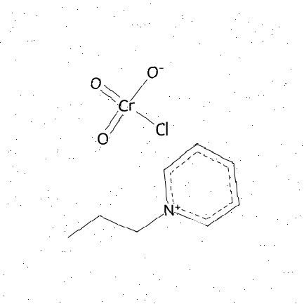 CCC[n+]1ccccc1.[O]=[Cr](=[O])([O-])[Cl]